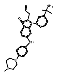 C=CCn1c(=O)c2cnc(Nc3ccc(N4CCN(C)CC4)cc3)nc2n1-c1cccc(C(C)(C)N)c1